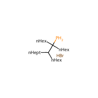 Br.CCCCCCCC(CCCCCC)C(P)(CCCCCC)CCCCCC